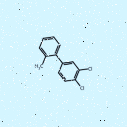 Cc1c[c]ccc1-c1ccc(Cl)c(Cl)c1